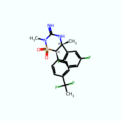 CN1C(=N)N[C@](C)(c2cc(F)ccc2F)[C@@H](c2ccc(C(C)(F)F)cc2)S1(=O)=O